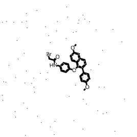 COc1ccc(-c2ccc3cc(OC)ccc3c2Oc2ccc(NC(=O)CBr)cc2)cc1